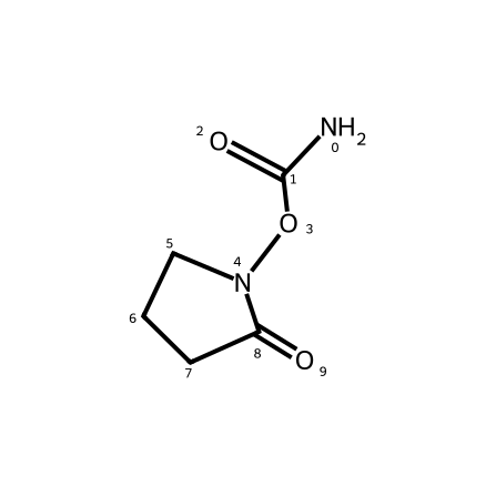 NC(=O)ON1CCCC1=O